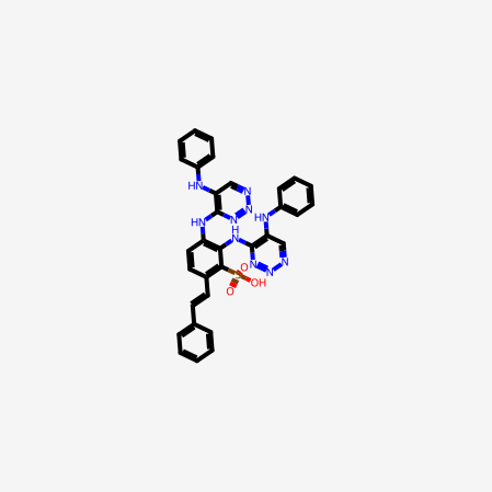 O=S(=O)(O)c1c(C=Cc2ccccc2)ccc(Nc2nnncc2Nc2ccccc2)c1Nc1nnncc1Nc1ccccc1